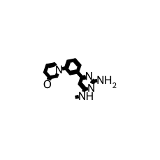 CNc1cc(-c2cccc(N3C=CCC(=O)C3)c2)nc(N)n1